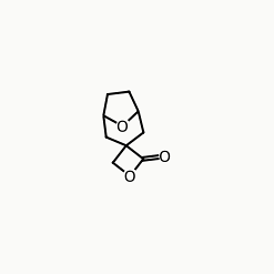 O=C1OCC12CC1CCC(C2)O1